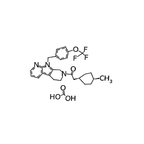 C[C@H]1CC[C@@H](CC(=O)N2CCc3c(n(Cc4ccc(OC(F)(F)F)cc4)c4ncccc34)C2)CC1.O=C(O)O